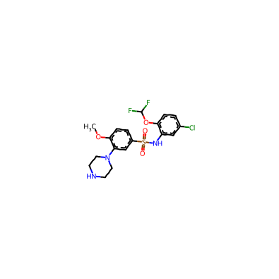 COc1ccc(S(=O)(=O)Nc2cc(Cl)ccc2OC(F)F)cc1N1CCNCC1